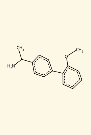 COc1ccccc1-c1ccc(C(C)N)cc1